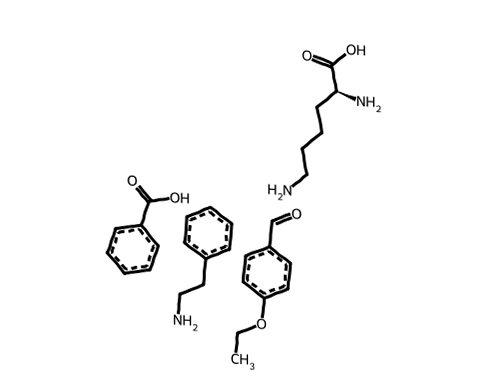 CCOc1ccc(C=O)cc1.NCCCC[C@H](N)C(=O)O.NCCc1ccccc1.O=C(O)c1ccccc1